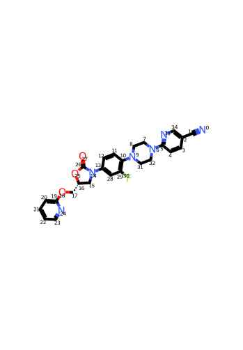 N#Cc1ccc(N2CCN(c3ccc(N4C[C@H](COc5ccccn5)OC4=O)cc3F)CC2)nc1